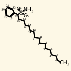 CCCCCCCCCCCCCCCCC(c1ccccc1)S(N)(=O)=O